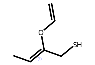 C=CO/C(=C\C)CS